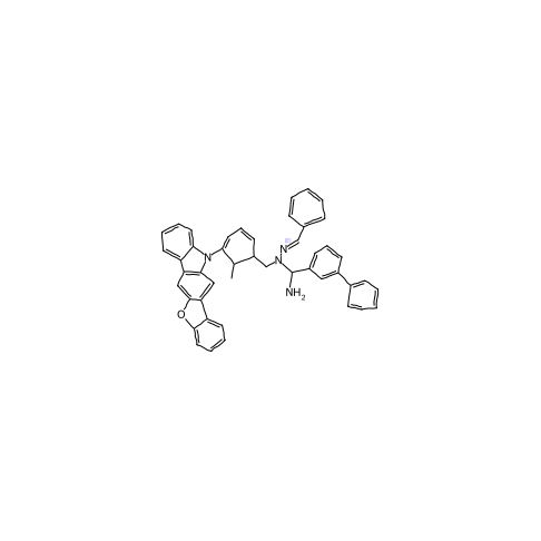 CC1C(n2c3ccccc3c3cc4oc5ccccc5c4cc32)=CC=CC1CN(/N=C/c1ccccc1)C(N)c1cccc(-c2ccccc2)c1